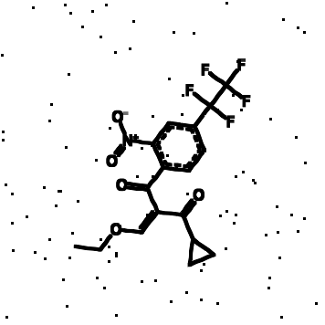 CCO/C=C(\C(=O)c1ccc(C(F)(F)C(F)(F)F)cc1[N+](=O)[O-])C(=O)C1CC1